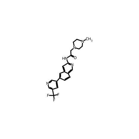 CN1CCN(CC(=O)Nc2cc3cc(-c4cncc(C(F)(F)F)c4)ccc3cn2)CC1